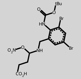 CC(C)(C)OC(=O)Nc1c(Br)cc(Br)cc1CNC(CCC(=O)O)O[N+](=O)[O-]